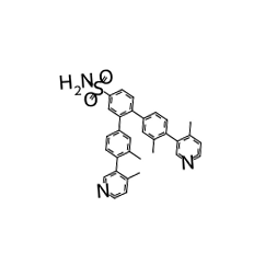 Cc1cc(-c2ccc(S(N)(=O)=O)cc2-c2ccc(-c3cnccc3C)c(C)c2)ccc1-c1cnccc1C